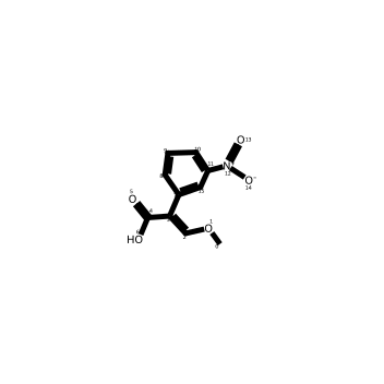 CO/C=C(/C(=O)O)c1cccc([N+](=O)[O-])c1